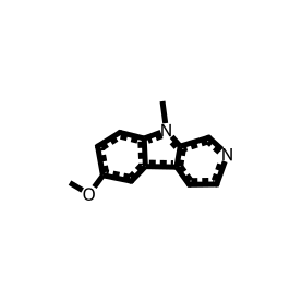 COc1ccc2c(c1)c1ccncc1n2C